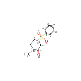 C[C@@H]1CC[C@H](S(=O)(=O)c2ccccc2)CC1=O